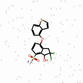 O=S(=O)(c1ccc(Oc2cccc3sccc23)c2c1C(O)C(F)(F)C2)C(F)(F)F